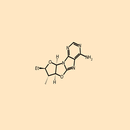 CC[C@H]1O[C@@H]2[C@@H](Oc3nc4c(N)ncnc4n32)[C@@H]1C